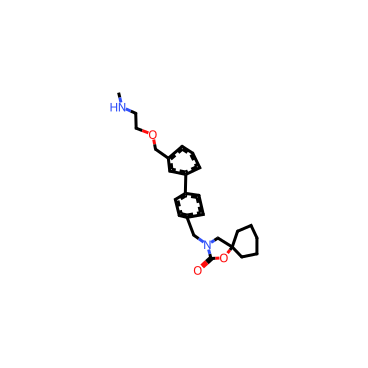 CNCCOCc1cccc(-c2ccc(CN3CC4(CCCCC4)OC3=O)cc2)c1